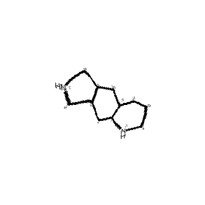 C1CNC2CC3CNCC3CC2C1